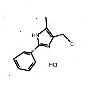 Cc1[nH]c(-c2ccccc2)nc1CCl.Cl